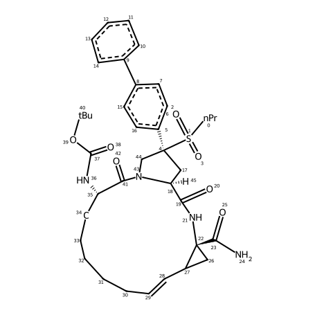 CCCS(=O)(=O)[C@@]1(c2ccc(-c3ccccc3)cc2)C[C@H]2C(=O)N[C@]3(C(N)=O)CC3/C=C\CCCCC[C@H](NC(=O)OC(C)(C)C)C(=O)N2C1